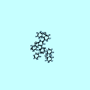 c1ccc(-c2nc(-c3cccc4c3oc3ccccc34)nc(-c3cc(-c4cccc5oc6ccccc6c45)cc4oc5cnccc5c34)n2)cc1